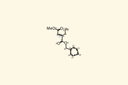 COC(=O)/C=C(\CC(C)C)C(=O)OCc1ccccc1